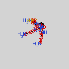 CC(C)(CNC(=O)C(CCCCNC(=O)COCCOCCOCCON)NC(=O)C(CCCCNC(=O)COCCOCCOCCON)NC(=O)COCCOCCOCCON)CC(C)(C)CC(=O)NCCCCC(CP)COP(C)(=O)S